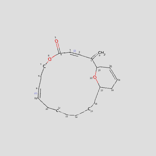 C=C1/C=C\C(=O)OCC/C=C\CCCCCCC2CC=CC1O2